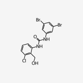 O=C(Nc1cc(Br)cc(Br)c1)Nc1cccc(Cl)c1CO